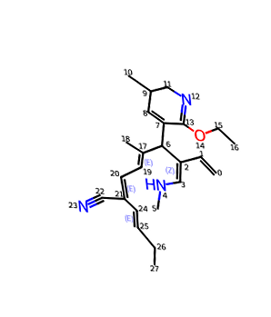 C=C/C(=C/NC)C(C1=CC(C)CN=C1OCC)/C(C)=C/C=C(C#N)\C=C\CC